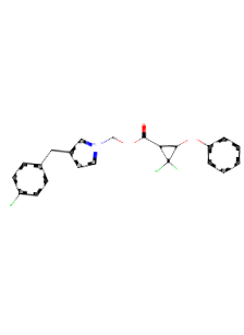 O=C(OCn1ccc(Cc2ccc(Cl)cc2)c1)C1C(Oc2ccccc2)C1(Cl)Cl